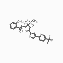 CC(CNC(=O)c1ccccc1O)(CC(O)n1cc(-c2ccc(C(F)(F)F)cn2)cn1)S(C)(=O)=O